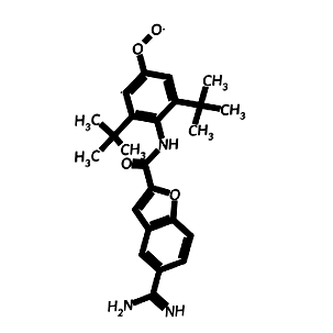 CC(C)(C)c1[c]c(O[O])cc(C(C)(C)C)c1NC(=O)c1cc2cc(C(=N)N)ccc2o1